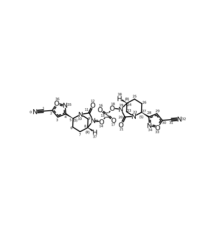 N#Cc1cc([C@@H]2CC[C@@H]3CN2C(=O)N3OS(=O)(=O)ON2C(=O)N3C[C@H]2CC[C@H]3c2cc(C#N)on2)no1